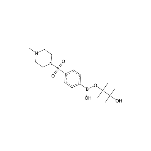 CN1CCN(S(=O)(=O)c2ccc(B(O)OC(C)(C)C(C)(C)O)cc2)CC1